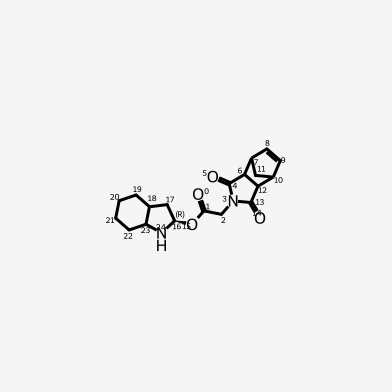 O=C(CN1C(=O)C2C3C=CC(C3)C2C1=O)O[C@@H]1CC2CCCCC2N1